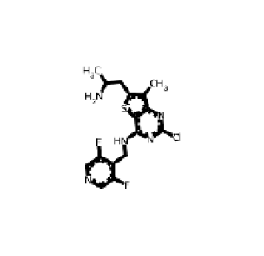 Cc1c(CC(C)N)sc2c(NCc3c(F)cncc3F)nc(Cl)nc12